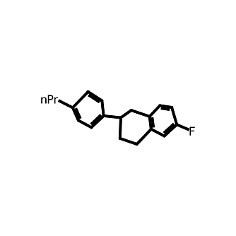 CCCc1ccc(C2CCc3cc(F)ccc3C2)cc1